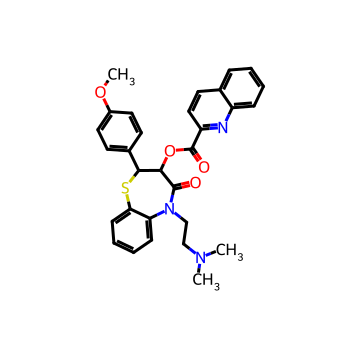 COc1ccc(C2Sc3ccccc3N(CCN(C)C)C(=O)C2OC(=O)c2ccc3ccccc3n2)cc1